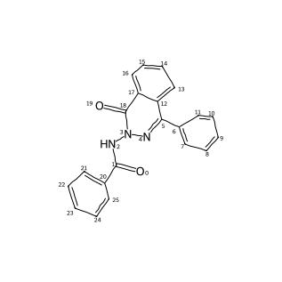 O=C(Nn1nc(-c2ccccc2)c2ccccc2c1=O)c1ccccc1